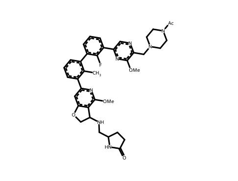 COc1nc(-c2cccc(-c3cccc(-c4cc5c(c(OC)n4)C(NCC4CCC(=O)N4)CO5)c3C)c2F)cnc1CN1CCN(C(C)=O)CC1